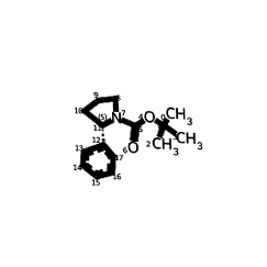 CC(C)(C)OC(=O)N1CCC[C@H]1c1ccccc1